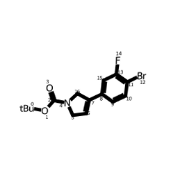 CC(C)(C)OC(=O)N1CC=C(c2ccc(Br)c(F)c2)C1